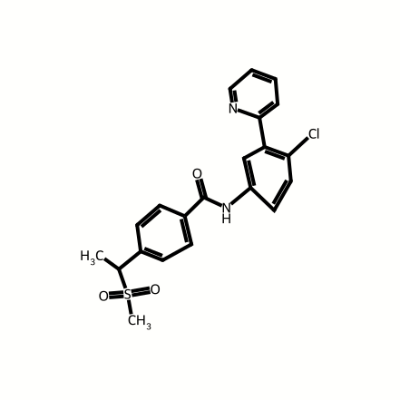 CC(c1ccc(C(=O)Nc2ccc(Cl)c(-c3ccccn3)c2)cc1)S(C)(=O)=O